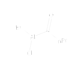 CCC[C](=O)[Al]([Cl])[CH2]C